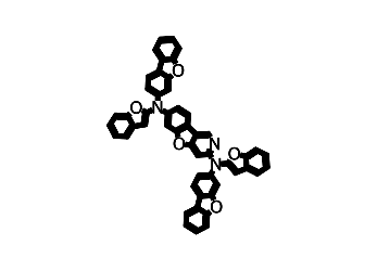 c1ccc2oc(N(c3ccc4c(c3)oc3ccccc34)c3ccc4c(c3)oc3cc(N(c5ccc6c(c5)oc5ccccc56)c5cc6ccccc6o5)ncc34)cc2c1